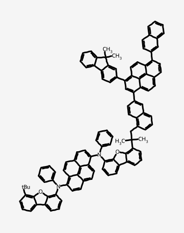 CC(C)(C)c1cccc2c1oc1c(N(c3ccccc3)c3ccc4ccc5c(N(c6ccccc6)c6cccc7c6oc6c(C(C)(C)Cc8cccc9cc(-c%10cc(-c%11ccc%12c(c%11)C(C)(C)c%11ccccc%11-%12)c%11ccc%12c(-c%13ccc%14ccccc%14c%13)ccc%13ccc%10c%11c%13%12)ccc89)cccc67)ccc6ccc3c4c65)cccc12